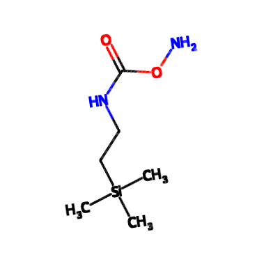 C[Si](C)(C)CCNC(=O)ON